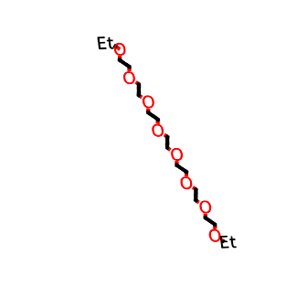 CCOCCOCCOCCOCCOCCOCCOCCOCC